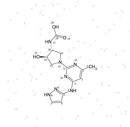 Cc1cc(Nc2cc[nH]n2)nc(N2C[C@@H](O)[C@H](NC(=O)O)C2)n1